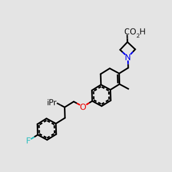 CC1=C(CN2CC(C(=O)O)C2)CCc2cc(OCC(Cc3ccc(F)cc3)C(C)C)ccc21